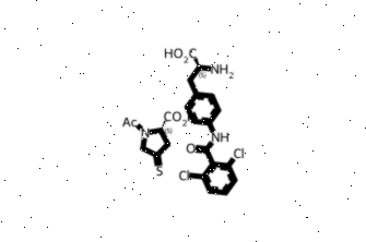 CC(=O)N1CC(=S)C[C@H]1C(=O)O.N[C@@H](Cc1ccc(NC(=O)c2c(Cl)cccc2Cl)cc1)C(=O)O